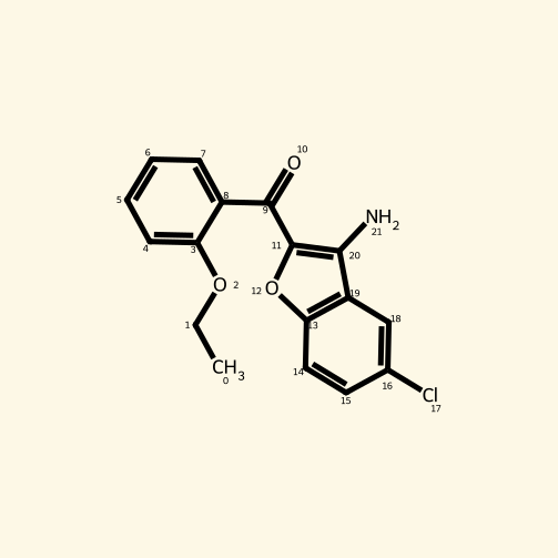 CCOc1ccccc1C(=O)c1oc2ccc(Cl)cc2c1N